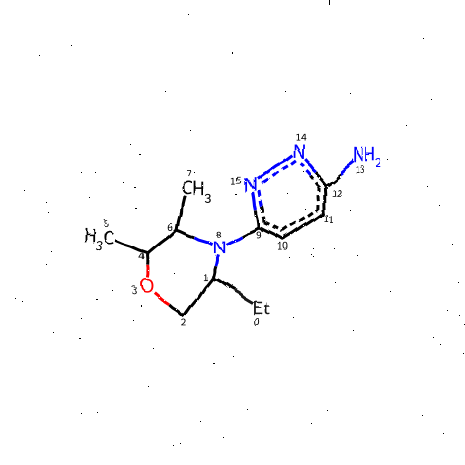 CCC1COC(C)C(C)N1c1ccc(N)nn1